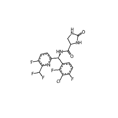 O=C1NCC(C(=O)N[C@H](c2ccc(F)c(C(F)F)n2)c2ccc(F)c(Cl)c2F)N1